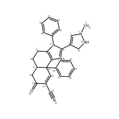 CN1C=C(c2nc3c(n2-c2ccccc2)CCC2CC(=O)C(C#N)=CC32c2ccccc2)CN1